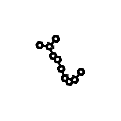 c1ccc(-c2cc(-c3ccc4cc(-c5ccc(-c6ccc7ccc8ccc(-c9ccccc9)nc8c7n6)cc5)ccc4c3)nc(-c3ccccc3)n2)cc1